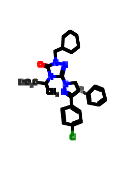 CCOC(=O)C(C)n1c(N2C[C@H](c3ccccc3)C(c3ccc(Cl)cc3)=N2)nn(CC2CCCCC2)c1=O